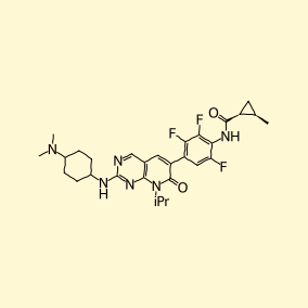 CC(C)n1c(=O)c(-c2cc(F)c(NC(=O)[C@H]3C[C@H]3C)c(F)c2F)cc2cnc(NC3CCC(N(C)C)CC3)nc21